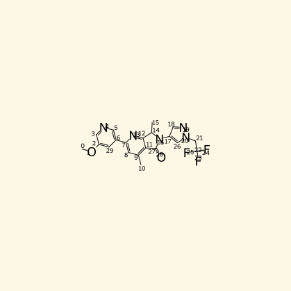 COc1cncc(-c2cc(C)c3c(n2)C(C)N(c2cnn(CC(F)(F)F)c2)C3=O)c1